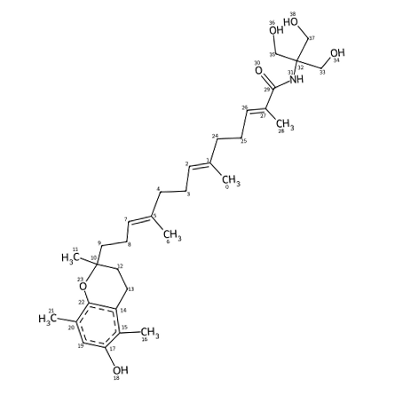 C/C(=C\CC/C(C)=C/CCC1(C)CCc2c(C)c(O)cc(C)c2O1)CC/C=C(\C)C(=O)NC(CO)(CO)CO